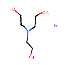 OCCN(CCO)CCO.[N]